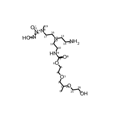 CC(COCCOC(=O)NCCN(CCN)CCN(C)/[N+]([O-])=N/O)OCCO